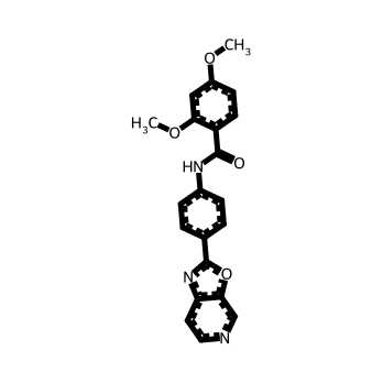 COc1ccc(C(=O)Nc2ccc(-c3nc4ccncc4o3)cc2)c(OC)c1